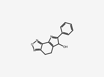 OC1C(c2ccccc2)=NC2=C1CCc1nonc12